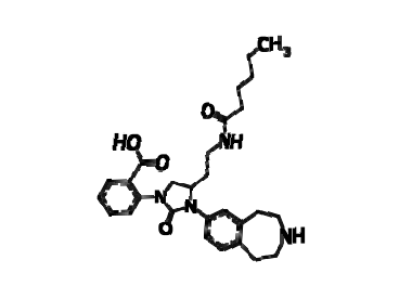 CCCCCC(=O)NCCC1CN(c2ccccc2C(=O)O)C(=O)N1c1ccc2c(c1)CCNCC2